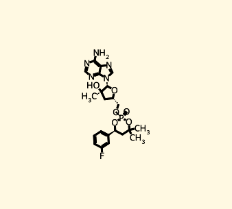 CC1(C)C[C@@H](c2cccc(F)c2)O[P@@](=O)(OC[C@@H]2C[C@@](C)(O)[C@H](n3cnc4c(N)ncnc43)O2)O1